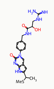 CSC(C)c1cc2cn(-c3ccc(CNC(=O)C(O)CNC(=N)N)cc3)c(=O)nc2[nH]1